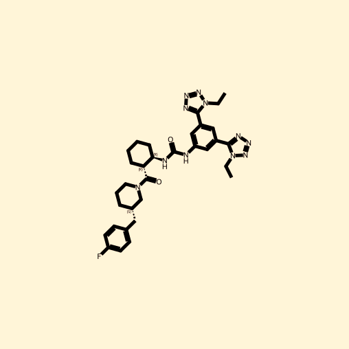 CCn1nnnc1-c1cc(NC(=O)N[C@@H]2CCCC[C@H]2C(=O)N2CCC[C@@H](Cc3ccc(F)cc3)C2)cc(-c2nnnn2CC)c1